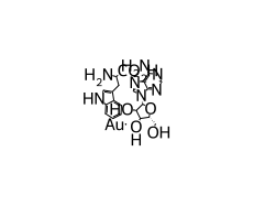 NC(Cc1c[nH]c2ccccc12)C(=O)O.Nc1ncnc2c1ncn2[C@@H]1O[C@H](CO)[C@@H](O)[C@H]1O.[Au]